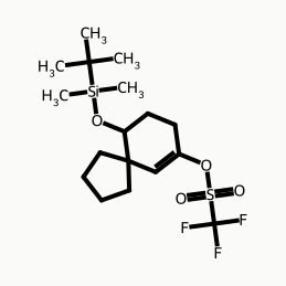 CC(C)(C)[Si](C)(C)OC1CCC(OS(=O)(=O)C(F)(F)F)=CC12CCCC2